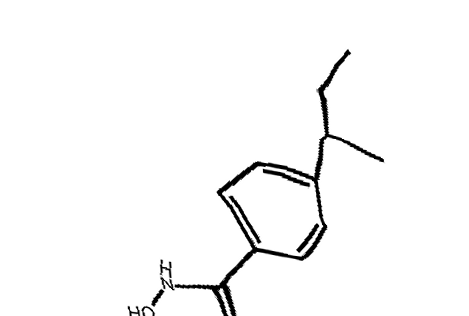 CCC(C)c1ccc(C(=O)NO)cc1